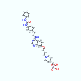 O=C(Nc1ccccc1)Nc1ccc(CCNc2ncnc3cc(OCCCN4CCC(COP(=O)(O)O)CC4)ccc23)cc1